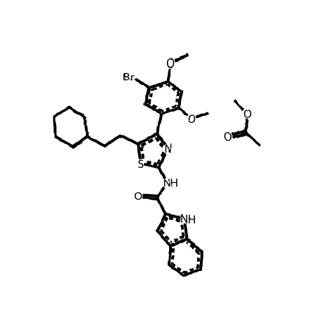 COC(C)=O.COc1cc(OC)c(-c2nc(NC(=O)c3cc4ccccc4[nH]3)sc2CCC2CCCCC2)cc1Br